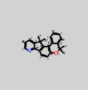 CC1(C)Oc2ccc3c(c2-c2ccccc21)C(C)(C)c1cccnc1-3